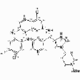 CC(C)(C)N1CCC(N2C=C([C@@H](Nc3cc(Cl)c4ncc(C#N)c(Nc5ccc(F)c(Cl)c5)c4c3)c3cccnc3)NN2)CC1